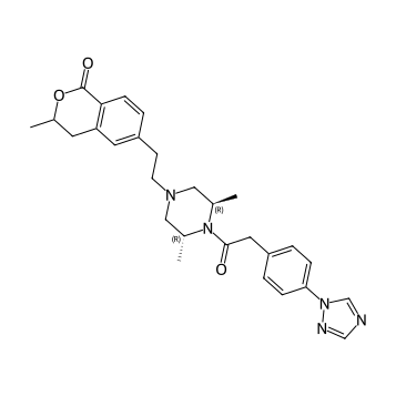 CC1Cc2cc(CCN3C[C@@H](C)N(C(=O)Cc4ccc(-n5cncn5)cc4)[C@H](C)C3)ccc2C(=O)O1